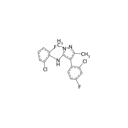 Cc1nn(C)c(Nc2c(F)cccc2Cl)c1-c1ccc(F)cc1Cl